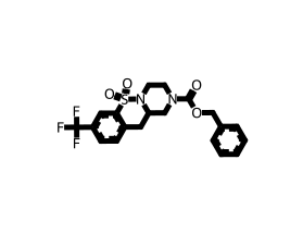 O=C(OCc1ccccc1)N1CCN2C(Cc3ccc(C(F)(F)F)cc3S2(=O)=O)C1